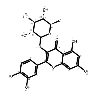 C[C@H]1OC(Oc2c(-c3ccc(O)c(O)c3)oc3cc(O)cc(O)c3c2=O)[C@H](O)[C@@H](O)[C@@H]1O